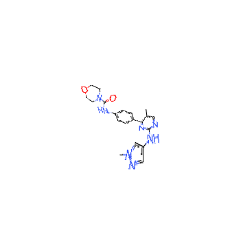 Cc1cnc(Nc2cnn(C)c2)nc1-c1ccc(NC(=O)N2CCOCC2)cc1